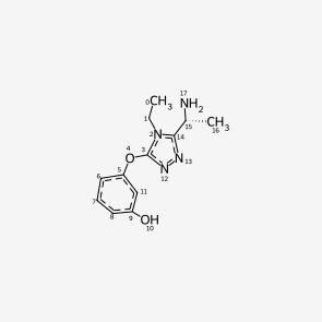 CCn1c(Oc2cccc(O)c2)nnc1[C@@H](C)N